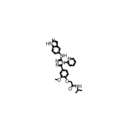 COc1cc(-c2nnc(Nc3ccc4[nH]ncc4c3)n2-c2ccccn2)ccc1OCC(=O)NC(C)C